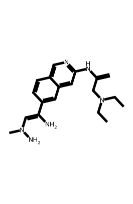 C=C(CN(CC)CC)Nc1cc2cc(/C(N)=C/N(C)N)ccc2cn1